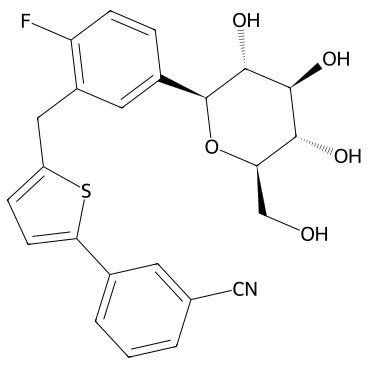 N#Cc1cccc(-c2ccc(Cc3cc([C@@H]4O[C@H](CO)[C@@H](O)[C@H](O)[C@H]4O)ccc3F)s2)c1